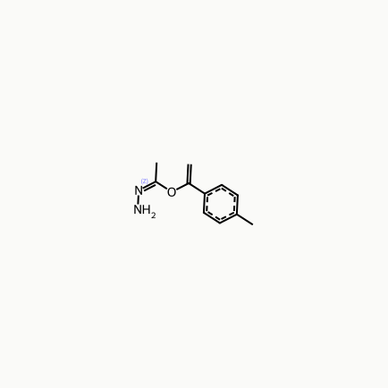 C=C(O/C(C)=N\N)c1ccc(C)cc1